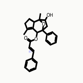 CC1=C2C(OC(=O)/C=C/c3ccccc3)C3(c4ccccc4)CC(O)C(C)(O3)C2CC1